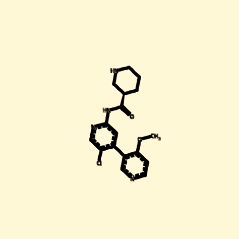 COc1ccncc1-c1cc(NC(=O)[C@@H]2CCCNC2)ncc1Cl